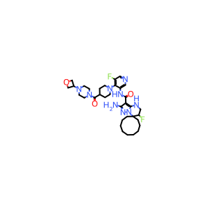 Nc1nn2c(c1C(=O)Nc1cncc(F)c1N1CCC(C(=O)N3CCN(C4COC4)CC3)CC1)NCC(F)C21CCCCCCCCC1